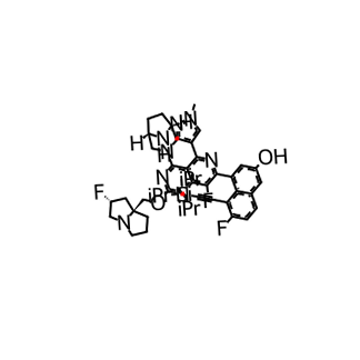 CC(C)[Si](C#Cc1c(F)ccc2cc(O)cc(-c3nc(-c4cnn(C)c4)c4c(N5C[C@H]6CC[C@@H](C5)N6)nc(OC[C@@]56CCCN5C[C@H](F)C6)nc4c3F)c12)(C(C)C)C(C)C